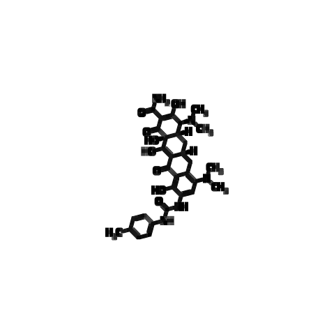 Cc1ccc(NC(=O)Nc2cc(N(C)C)c3c(c2O)C(=O)C2=C(O)[C@]4(O)C(=O)C(C(N)=O)=C(O)[C@@H](N(C)C)[C@@H]4C[C@@H]2C3)cc1